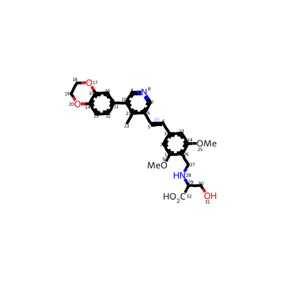 COc1cc(/C=C/c2cncc(-c3ccc4c(c3)OCCO4)c2C)cc(OC)c1CNC(CO)C(=O)O